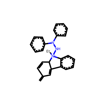 C=C1C=CC2C(=C1)c1ccccc1[N+]2(CC)NN(c1ccccc1)c1ccccc1